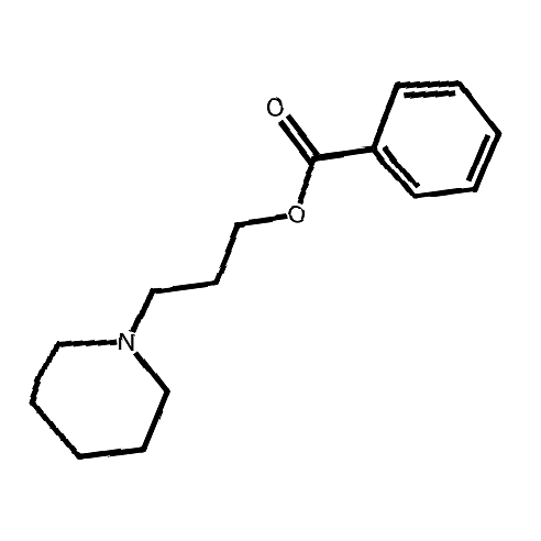 O=C(OCCCN1CCCCC1)c1ccccc1